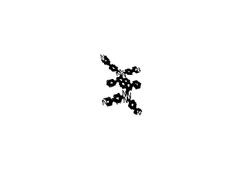 C1=C(c2ccncc2)CCC(c2nc(-c3ccc(-c4ccncc4)cc3)nc(-c3cc(-c4ccccc4)c4ccc5c(-c6nc(-c7ccc(-c8ccncc8)cc7)nc(-c7ccc(-c8ccncc8)cc7)n6)cc(-c6ccccc6)c6ccc3c4c65)n2)=C1